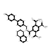 O=C(O)c1cc(C(=O)O)c(C(=O)N(Cc2ccc(-c3ccc(Cl)cc3)cc2)[C@H]2CCCc3ccccc32)cc1C(=O)O